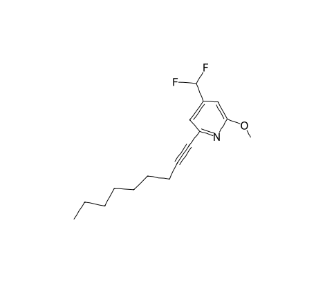 CCCCCCCC#Cc1cc(C(F)F)cc(OC)n1